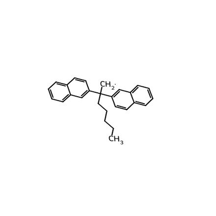 [CH2]C(CCCCC)(c1ccc2ccccc2c1)c1ccc2ccccc2c1